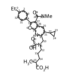 CCc1ccc(-c2oc3nc(CN(CCCC(C)C(=O)O)[SH](=O)=O)c(C4CC4)cc3c2C(=O)NC)cc1